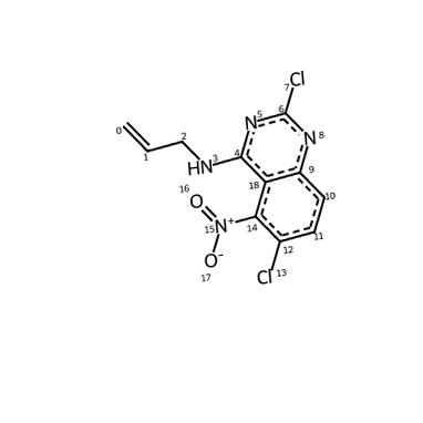 C=CCNc1nc(Cl)nc2ccc(Cl)c([N+](=O)[O-])c12